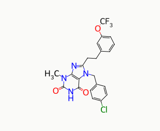 Cn1c(=O)[nH]c(=O)c2c1nc(CCc1cccc(OC(F)(F)F)c1)n2Cc1ccc(Cl)cc1